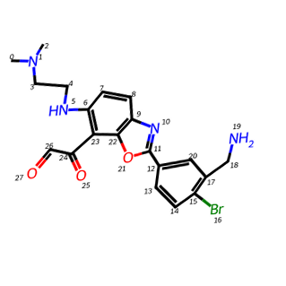 CN(C)CCNc1ccc2nc(-c3ccc(Br)c(CN)c3)oc2c1C(=O)C=O